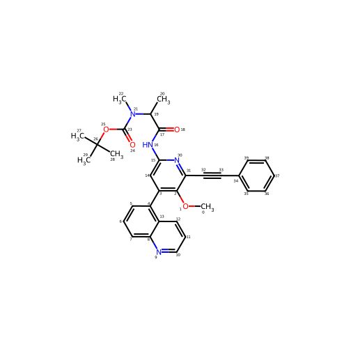 COc1c(-c2cccc3ncccc23)cc(NC(=O)C(C)N(C)C(=O)OC(C)(C)C)nc1C#Cc1ccccc1